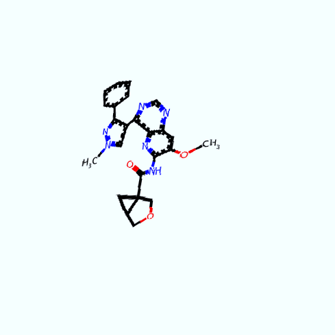 COc1cc2ncnc(-c3cn(C)nc3-c3ccccc3)c2nc1NC(=O)C12COCC1C2